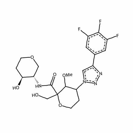 COC1C(n2cc(-c3cc(F)c(F)c(F)c3)nn2)CCOC1(CO)C(=O)N[C@H]1COCC[C@@H]1O